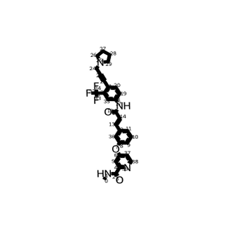 CNC(=O)c1cc(Oc2cccc(C=CC(=O)Nc3ccc(C#CCN4CCCC4)c(C(F)(F)F)c3)c2)ccn1